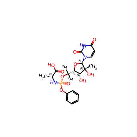 [2H]C([2H])(OP(=O)(N[C@H](C)C(=O)O)Oc1ccccc1)[C@@H]1O[C@@H](n2ccc(=O)[nH]c2=O)[C@](C)(O)[C@@H]1O